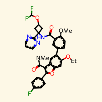 CCOc1cc2oc(-c3ccc(F)cc3)c(C(=O)NC)c2cc1-c1ccc(OC)c(C(=O)NC2(c3ncccn3)CC(OC(F)F)C2)c1